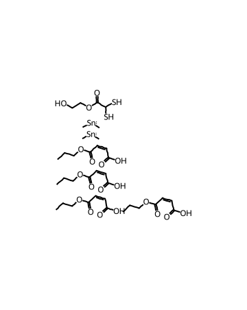 CCCOC(=O)/C=C\C(=O)O.CCCOC(=O)/C=C\C(=O)O.CCCOC(=O)/C=C\C(=O)O.CCCOC(=O)/C=C\C(=O)O.O=C(OCCO)C(S)S.[CH3][Sn][CH3].[CH3][Sn][CH3]